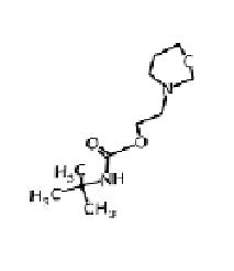 CC(C)(C)NC(=O)OCCN1CCCCC1